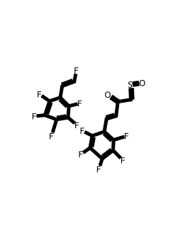 FC=Cc1c(F)c(F)c(F)c(F)c1F.O=S=CC(=O)C=Cc1c(F)c(F)c(F)c(F)c1F